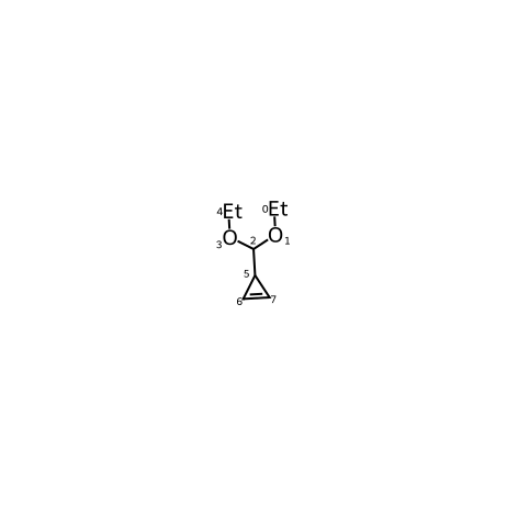 CCOC(OCC)C1C=C1